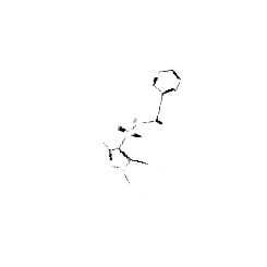 Cc1nn(C)c(C)c1S(=O)(=O)NC(=O)c1cccnc1